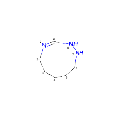 C1=NCCCCCNN1